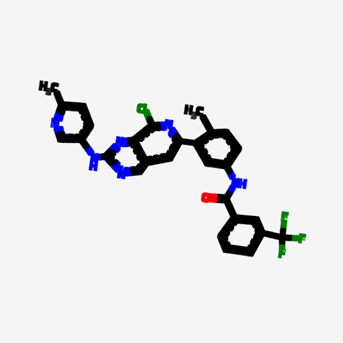 Cc1ccc(Nc2ncc3cc(-c4cc(NC(=O)c5cccc(C(F)(F)F)c5)ccc4C)nc(Cl)c3n2)cn1